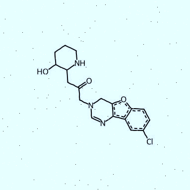 O=C(CC1NCCCC1O)CN1C=Nc2c(oc3ccc(Cl)cc23)C1